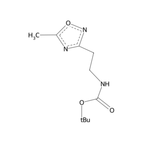 Cc1nc(CCNC(=O)OC(C)(C)C)no1